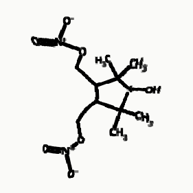 CC1(C)C(CO[N+](=O)[O-])C(CO[N+](=O)[O-])C(C)(C)N1O